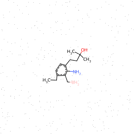 BCc1c(CC)ccc(CCC(C)(C)O)c1N